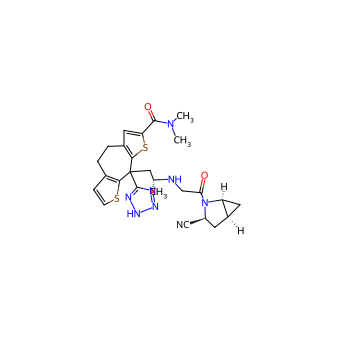 C[C@H](CC1(c2nn[nH]n2)c2sccc2CCc2cc(C(=O)N(C)C)sc21)NCC(=O)N1[C@H](C#N)C[C@@H]2C[C@@H]21